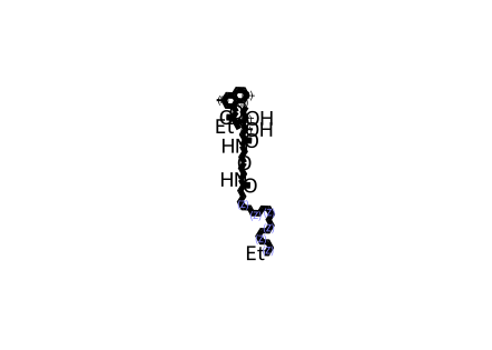 CC/C=C\C/C=C\C/C=C\C/C=C\C/C=C\C/C=C\CCC(=O)NCCOCCNC(=O)C[C@H](O)C[C@@H](O)CC[C@@H]1C2C(=C[C@H](C)CC2OC(=O)C(C)(C)CC)C=C[C@@H]1C